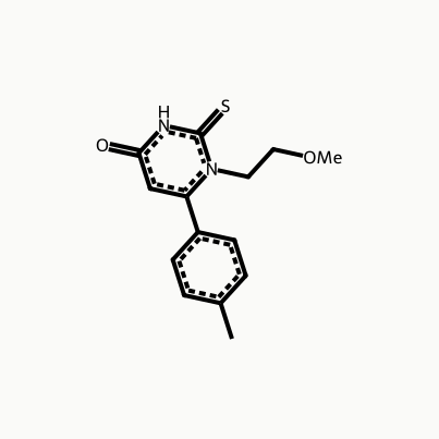 COCCn1c(-c2ccc(C)cc2)cc(=O)[nH]c1=S